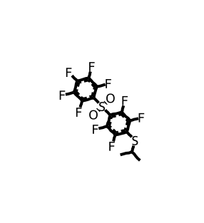 CC(C)Sc1c(F)c(F)c(S(=O)(=O)c2c(F)c(F)c(F)c(F)c2F)c(F)c1F